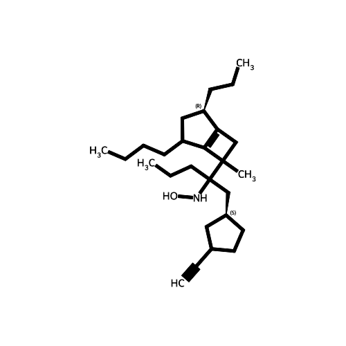 C#CC1CC[C@H](CC(CCC)(NO)C2(C)CC3=C2C(CCCC)C[C@H]3CCC)C1